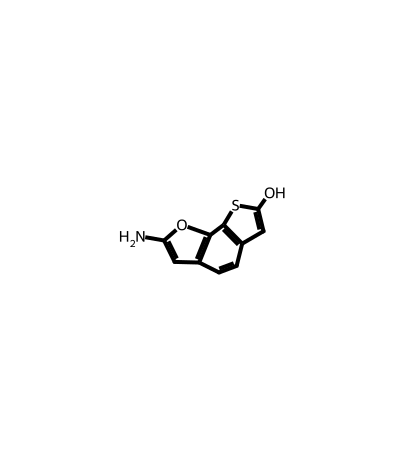 Nc1cc2ccc3cc(O)sc3c2o1